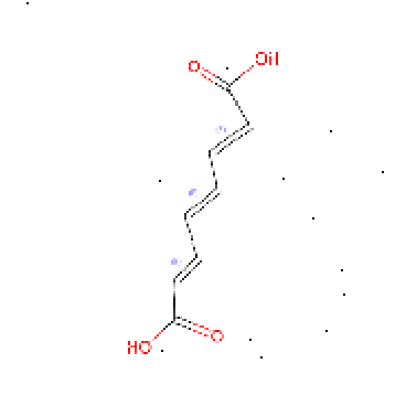 O=C(O)/C=C/C=C/C=C/C(=O)O